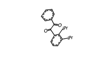 CC(C)c1cccc(C(=O)C(=O)c2ccccc2)c1C(C)C